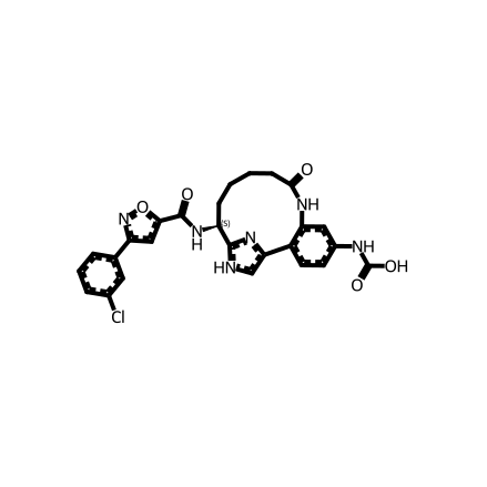 O=C(O)Nc1ccc2c(c1)NC(=O)CCCC[C@H](NC(=O)c1cc(-c3cccc(Cl)c3)no1)c1nc-2c[nH]1